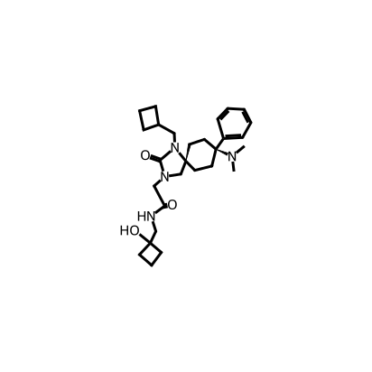 CN(C)[C@]1(c2ccccc2)CC[C@@]2(CC1)CN(CC(=O)NCC1(O)CCC1)C(=O)N2CC1CCC1